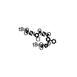 CC(C)(C)OC(=O)N1CCN(c2cc(Cl)cc(C(=O)N3CCN(C(=O)c4ccc(O[C@H]5CCN(C(=O)OC(C)(C)C)C5)c(C5CCCCC5)c4)CC3)c2)CC1